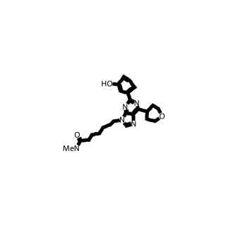 CNC(=O)CCCCCCn1cnc2c(C3CCOCC3)nc(-c3cccc(O)c3)nc21